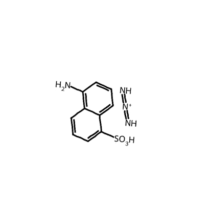 N=[N+]=N.Nc1cccc2c(S(=O)(=O)O)cccc12